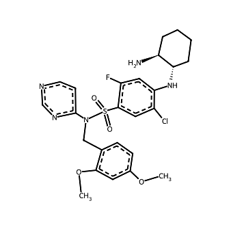 COc1ccc(CN(c2ccncn2)S(=O)(=O)c2cc(Cl)c(N[C@H]3CCCC[C@@H]3N)cc2F)c(OC)c1